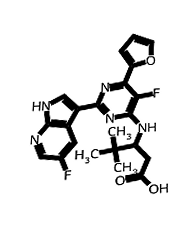 CC(C)(C)C(CC(=O)O)Nc1nc(-c2c[nH]c3ncc(F)cc23)nc(-c2ccco2)c1F